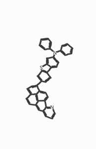 c1ccc(N(c2ccccc2)c2ccc3c(c2)sc2cc(-c4ccc5ccc6cc7cccnc7c7ccc4c5c67)ccc23)cc1